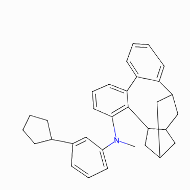 CN(c1cccc(C2CCCC2)c1)c1cccc2c1C1CC3CC(CC1C3)c1ccccc1-2